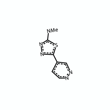 CNc1nnc(-c2ccnnc2)s1